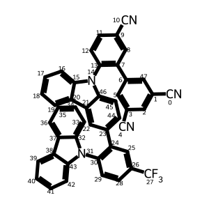 N#Cc1cc(C#N)cc(-c2cc(C#N)ccc2-n2c3ccccc3c3cc(-c4cc(C(F)(F)F)ccc4-n4c5ccccc5c5ccccc54)ccc32)c1